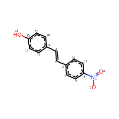 O=[N+]([O-])c1ccc(/C=C/c2ccc(O)cc2)cc1